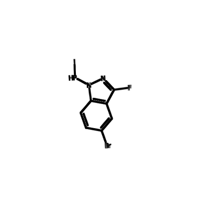 Fc1nn(PI)c2ccc(Br)cc12